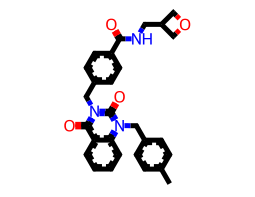 Cc1ccc(Cn2c(=O)n(Cc3ccc(C(=O)NCC4COC4)cc3)c(=O)c3ccccc32)cc1